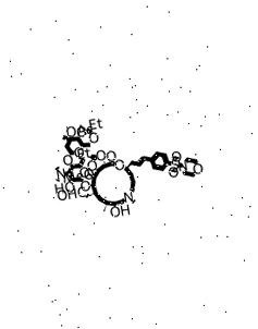 CCC(=O)O[C@@H]1CC(=O)O[C@@H](C/C=C/c2ccc(S(=O)(=O)N3CCOCC3)cc2)CCCN(C)C[C@H](O)[C@H](C)C[C@H](CC=O)[C@H](O[C@@H]2OC(C)[C@@H](O[C@H]3CC(C)(OC(C)=O)[C@@H](OC(=O)CC)C(C)O3)C(N(C)C)C2O)[C@H]1OC